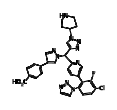 O=C(O)c1ccc(-c2cnn(C(c3ccc(-c4c(-n5ccnn5)ccc(Cl)c4F)cn3)c3cn(C4CCNCC4)nn3)c2)cc1